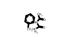 CC(=O)NC(C)=O.O=C(O)c1ccccc1